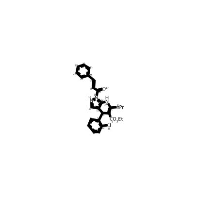 CCCC1=C(C(=O)OCC)C(c2ccccc2Cl)c2cnn(C(=O)C=Cc3ccccc3)c2N1